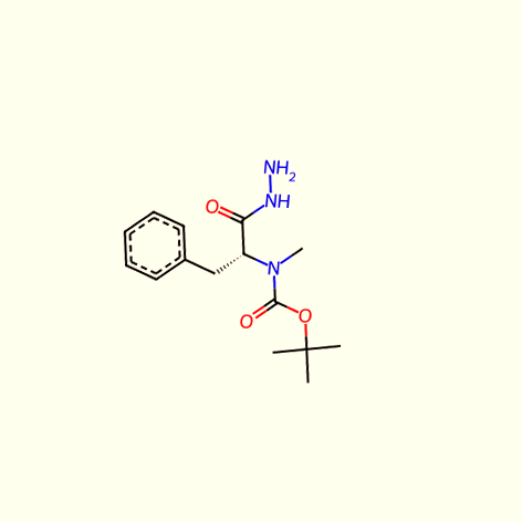 CN(C(=O)OC(C)(C)C)[C@H](Cc1ccccc1)C(=O)NN